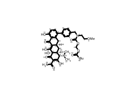 COCCN(Cc1ccc(-c2ccc(O)c3c2C[C@H]2C[C@H]4[C@H](N(C)C)C(O)=C(C(N)=O)C(=O)[C@@]4(O)C(O)=C2C3=O)cc1)C(=O)OCOC(=O)C(C)(C)C